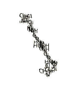 CN1Cc2c(Cl)cc(Cl)cc2[C@H](c2cccc(-c3cnnc(NCCOCCOCCNC(=O)[C@H](O)[C@@H](O)C(=O)NCCOCCOCCNc4cc(-c5cccc([C@@H]6CN(C)Cc7c(Cl)cc(Cl)cc76)c5)cnn4)c3)c2)C1